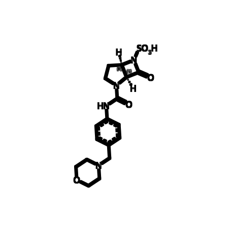 O=C(Nc1ccc(CN2CCOCC2)cc1)N1CC[C@@H]2[C@H]1C(=O)N2S(=O)(=O)O